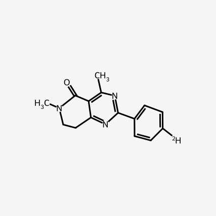 [2H]c1ccc(-c2nc(C)c3c(n2)CCN(C)C3=O)cc1